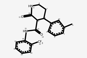 Cc1cccc(C2CCNC(=O)C2C(=O)Nc2ccccc2C(F)(F)F)c1